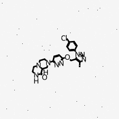 Cc1nnn(-c2ccc(Cl)cc2)c1COc1ccc(N2CCN3CCNC(=O)[C@@H]3C2)nn1